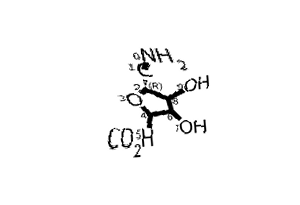 NC[C@H]1OC(C(=O)O)C(O)C1O